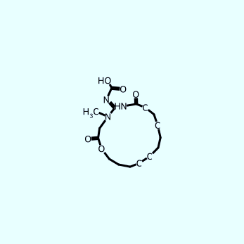 CN1CC(=O)OCCCCCCCCCCC(=O)N/C1=N\C(=O)O